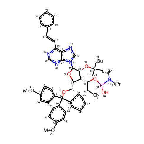 COc1ccc(C(OC[C@@H]2O[C@@H](n3cnc4c(/C=C/c5ccccc5)ncnc43)[C@H](O[Si](C)(C)C(C)(C)C)[C@@H]2C(CC#N)OP(O)N(C(C)C)C(C)C)(c2ccccc2)c2ccc(OC)cc2)cc1